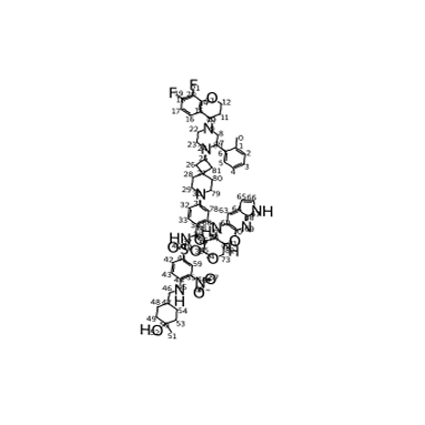 Cc1ccccc1[C@@H]1CN([C@H]2CCOc3c2ccc(F)c3F)CCN1C1CC2(CCN(c3ccc(C(=O)NS(=O)(=O)c4ccc(NCC5CCC(C)(O)CC5)c([N+](=O)[O-])c4)c(N4c5cc6cc[nH]c6nc5O[C@H]5COCC[C@@H]54)c3)CC2)C1